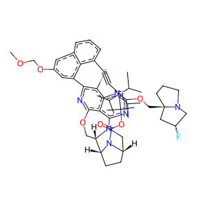 COCOc1cc(-c2nc3c4c(nc(OC[C@@]56CCCN5C[C@@H](F)C6)nc4c2F)N2C[C@@H]4CC[C@H]([C@@H]2CO3)N4C(=O)OC(C)(C)C)c2c(C#C[Si](C(C)C)(C(C)C)C(C)C)cccc2c1